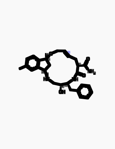 Cc1ccc2c(c1)[C@H]1C[C@@H]2OC/C=C/C[C@@H](C(N)=O)C(=O)N[C@@H](Cc2ccccc2)[C@H](O)CN1